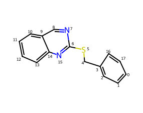 c1ccc(CSc2ncc3ccccc3n2)cc1